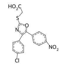 O=C(O)CSc1nc(-c2ccc(Cl)cc2)c(-c2ccc([N+](=O)[O-])cc2)o1